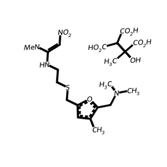 CC(O)(C(=O)O)C(C(=O)O)C(=O)O.CNC(=C[N+](=O)[O-])NCCSCc1cc(C)c(CN(C)C)o1